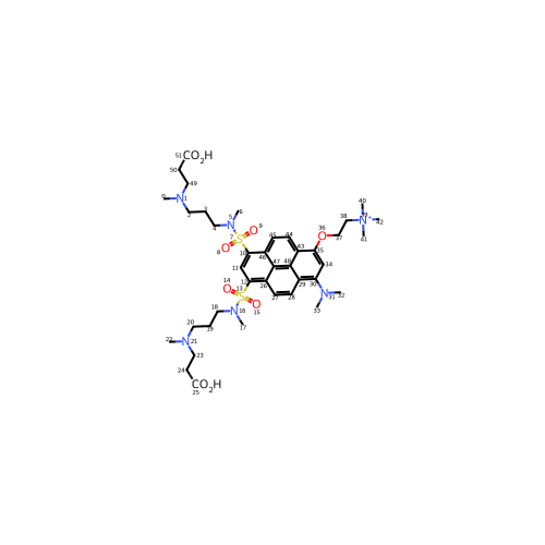 CN(CCCN(C)S(=O)(=O)c1cc(S(=O)(=O)N(C)CCCN(C)CCC(=O)O)c2ccc3c(N(C)C)cc(OCC[N+](C)(C)C)c4ccc1c2c43)CCC(=O)O